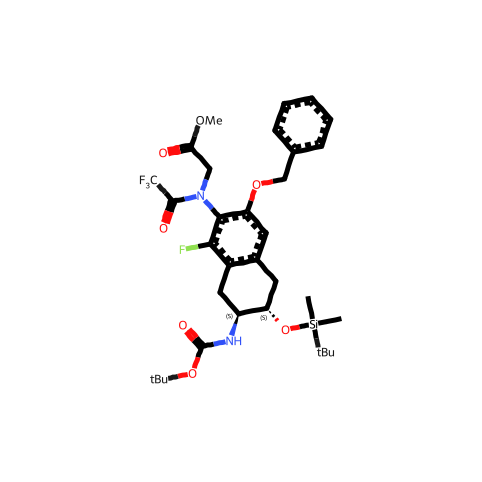 COC(=O)CN(C(=O)C(F)(F)F)c1c(OCc2ccccc2)cc2c(c1F)C[C@H](NC(=O)OC(C)(C)C)[C@@H](O[Si](C)(C)C(C)(C)C)C2